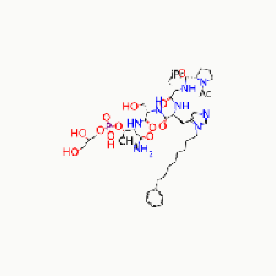 CC(=O)N1CCC[C@H]1C(=O)N[C@@H](CC(C)C)C(=O)N[C@@H](Cc1cncn1CCCCCCCCc1ccccc1)C(=O)N[C@@H](CO)C(=O)N[C@H](C(N)=O)[C@@H](C)OP(=O)(O)OC[C@H](O)CO